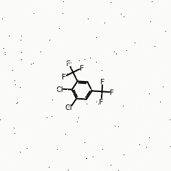 FC(F)(F)c1cc(Cl)c(Cl)c(C(F)(F)F)c1